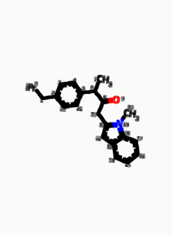 CC(C)Cc1ccc(C(C)C(=O)Cc2cc3ccccc3n2C)cc1